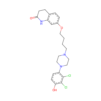 O=C1CCc2ccc(OCCCCN3CCN(c4ccc(O)c(Cl)c4Cl)CC3)cc2N1